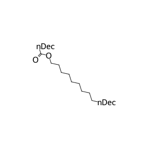 CCCCCCCCCCCCCCCCCCCOC(=O)CCCCCCCCCC